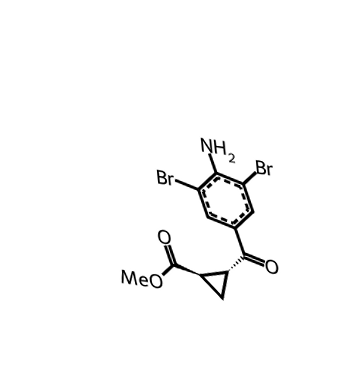 COC(=O)[C@@H]1C[C@H]1C(=O)c1cc(Br)c(N)c(Br)c1